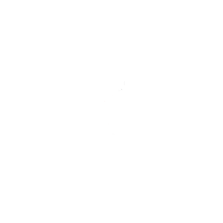 [C].[C].[Ga+3].[Ga+3].[O-2].[O-2].[O-2].[Pt].[Pt]